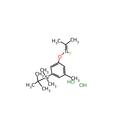 C[C](C)=[Ti]([F])[O]c1cc(C)cc([Si](C)(C)C(C)(C)C)c1.Cl.Cl